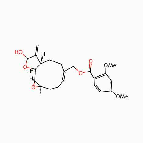 C=C1C(O)O[C@H]2[C@H]1CC/C(COC(=O)c1ccc(OC)cc1OC)=C\CC[C@@]1(C)O[C@@H]21